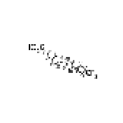 O=C(O)CC=C[C@H]1CC[C@H]([C@H]2CC[C@H](c3ccc(C(F)(F)F)cc3)CC2)CC1